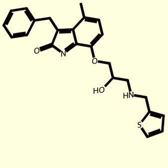 Cc1ccc(OCC(O)CNCc2cccs2)c2c1=C(Cc1ccccc1)C(=O)N=2